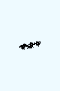 C=C1[C@H](C)CC(=C/C=C2\CCC[C@@]3(C)C2CCC3[C@H](C)CCCC(C)(C)O[Si](CC)(CC)CC)C[C@H]1C